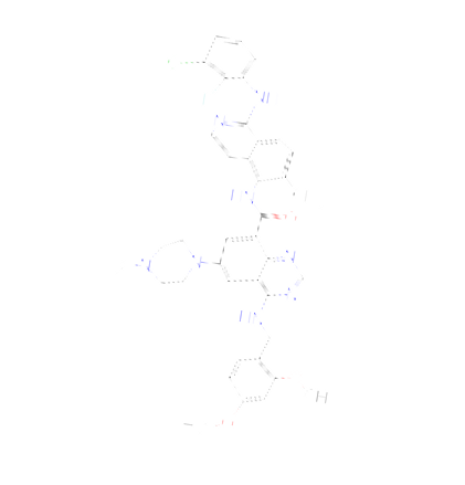 COc1ccc(CNc2ncnc3c(C(=O)Nc4c(C)ccc5c(Nc6cccc(Cl)c6F)nccc45)cc(N4CCN(C)CC4)cc23)c(OC)c1